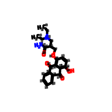 CCN(CC)CC(COc1ccc(O)c2c1C(=O)c1ccccc1C2=O)C(N)=O